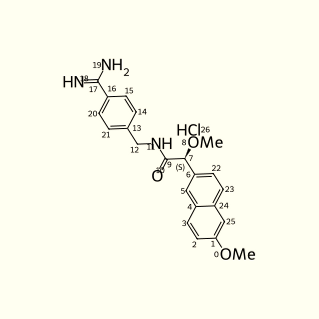 COc1ccc2cc([C@H](OC)C(=O)NCc3ccc(C(=N)N)cc3)ccc2c1.Cl